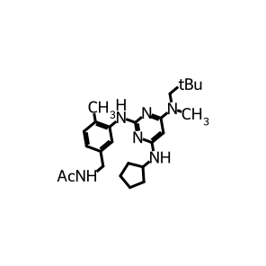 CC(=O)NCc1ccc(C)c(Nc2nc(NC3CCCC3)cc(N(C)CC(C)(C)C)n2)c1